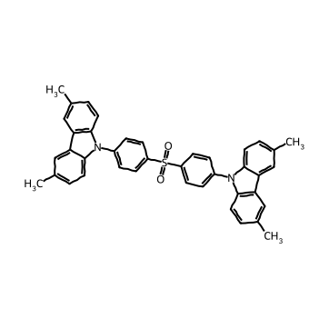 Cc1ccc2c(c1)c1cc(C)ccc1n2-c1ccc(S(=O)(=O)c2ccc(-n3c4ccc(C)cc4c4cc(C)ccc43)cc2)cc1